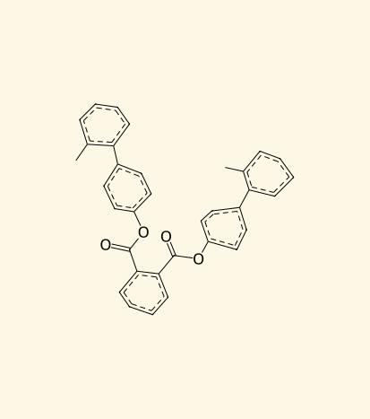 Cc1ccccc1-c1ccc(OC(=O)c2ccccc2C(=O)Oc2ccc(-c3ccccc3C)cc2)cc1